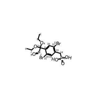 CCOC(OCC)(P=O)c1cc(Br)c(CP(=O)(O)O)cc1Br